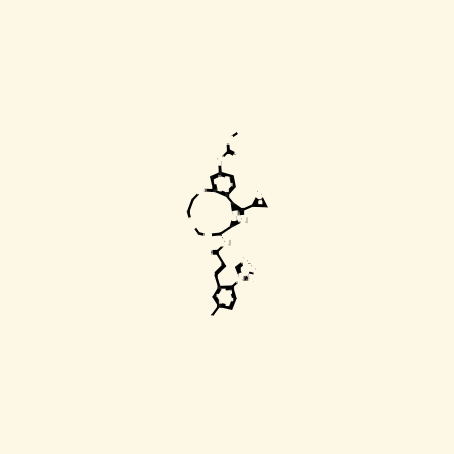 COC(=O)Nc1ccc2c(c1)NCCCCC[C@H](NC(=O)/C=C/c1cc(Cl)ccc1-n1cnnn1)c1nc-2c(C2=NC2)[nH]1